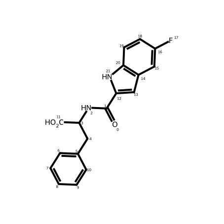 O=C(NC(Cc1ccccc1)C(=O)O)c1cc2cc(F)ccc2[nH]1